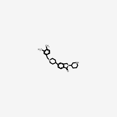 Cc1ccc(CN2CCC(c3ccc4c(c3)CN(C3CCCNC3)C4=O)CC2)cc1C